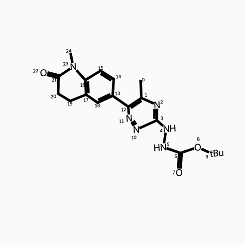 Cc1nc(NNC(=O)OC(C)(C)C)nnc1-c1ccc2c(c1)CCC(=O)N2C